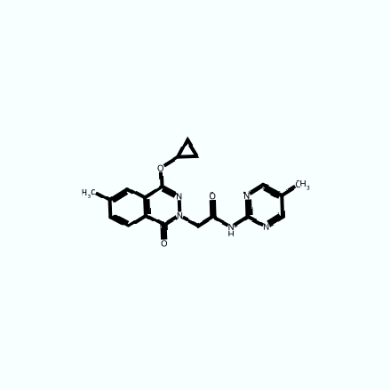 Cc1cnc(NC(=O)Cn2nc(OC3CC3)c3cc(C)ccc3c2=O)nc1